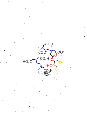 O=C(O)CN(CCN(CC(=O)O)CC(=O)O)CC(=O)O.O=C([O-])CN(CCN(CC(=O)[O-])CC(=O)O[C@H](CS)[C@H](O)CS)CC(=O)O.[Na+].[Na+]